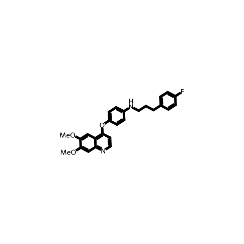 COc1cc2nccc(Oc3ccc(NCCCc4ccc(F)cc4)cc3)c2cc1OC